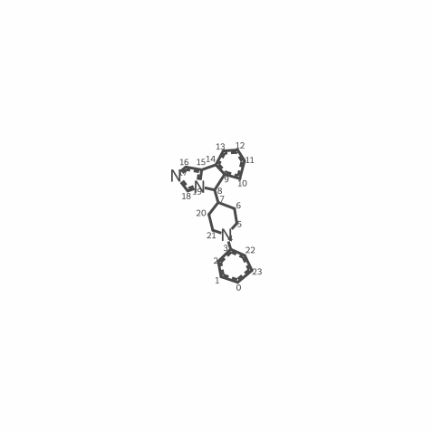 c1ccc(N2CCC(C3c4ccccc4-c4cncn43)CC2)cc1